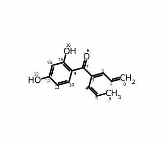 C=C/C=C(\C=C/C)C(=O)c1ccc(O)cc1O